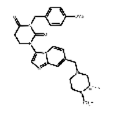 COc1ccc(CN2C(=O)CCN(c3cnc4cc(CN5CCN(C(=O)O)[C@@H](C)C5)ccn34)C2=O)cc1